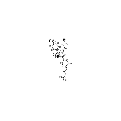 O=C(O)CCCc1ccc(C(CCCCCF)NS(=O)(=O)c2ccc(Cl)cc2)cc1